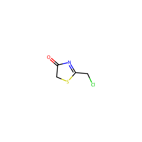 O=C1CSC(CCl)=N1